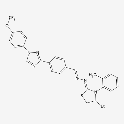 CCC1CS/C(=N\N=C\c2ccc(-c3ncn(-c4ccc(OC(F)(F)F)cc4)n3)cc2)N1c1ccccc1C